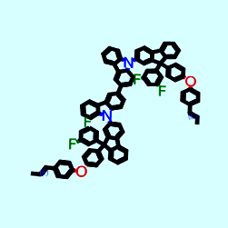 C/C=C/c1ccc(Oc2ccc(C3(c4cc(F)cc(F)c4)c4ccccc4-c4ccc(N5c6ccccc6C6=CC(c7ccc8c(c7)c7ccccc7n8-c7ccc8c(c7)C(c7ccc(Oc9ccc(/C=C/C)cc9)cc7)(c7cc(F)cc(F)c7)c7ccccc7-8)=CCC65)cc43)cc2)cc1